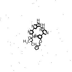 CC(C)CC(=O)Nc1cncc(-c2cc3c(-c4nc5c(-c6cc(F)cc(OCCN7CCCC7)c6)cncc5[nH]4)n[nH]c3cn2)c1